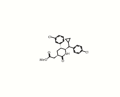 COC(=O)C[C@H]1C[C@H](c2cccc(Cl)c2)[C@@H](C(c2ccc(Cl)cc2)C2CC2)NC1=O